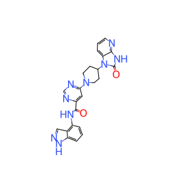 O=C(Nc1cccc2[nH]ncc12)c1cc(N2CCC(n3c(=O)[nH]c4ncccc43)CC2)ncn1